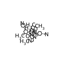 Cc1cc(-c2ccncc2)cc(C)c1Oc1nc(N(C(=O)OC(C)(C)C)c2ccc(C#N)cc2)nc2ccn(C)c12